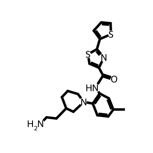 Cc1ccc(N2CCCC(CCN)C2)c(NC(=O)c2csc(-c3cccs3)n2)c1